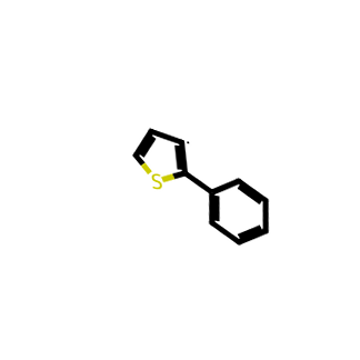 [c]1ccsc1-c1ccccc1